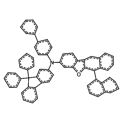 c1ccc(-c2ccc(N(c3ccc4c(c3)C(c3ccccc3)(c3ccccc3)c3ccccc3-4)c3ccc4c(c3)oc3c(-c5cccc6ccccc56)c5ccccc5cc34)cc2)cc1